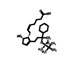 CC(CCC1=CC[C@H](O)[C@@H]1C/C=C\CCCC(=O)O)(O[Si](C)(C)C(C)(C)C)C1CCCCC1